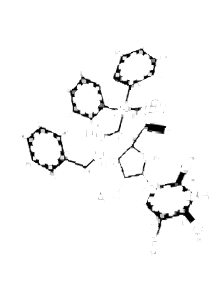 C=C[C@@]1(C(O)[Si](c2ccccc2)(c2ccccc2)C(C)(C)C)O[C@@H](n2cc(F)c(=O)[nH]c2=O)[C@H](OC(C)=O)[C@@H]1OCc1ccccc1